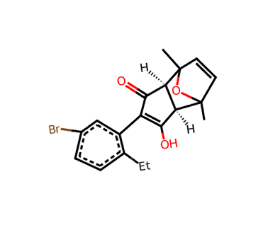 CCc1ccc(Br)cc1C1=C(O)[C@H]2[C@@H](C1=O)C1(C)C=CC2(C)O1